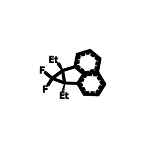 CC[C@]1(c2ccccc2)C(F)(F)[C@]1(CC)c1ccccc1